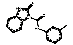 Cc1cccc(NC(=O)n2c(=O)[nH]c3cnccc32)c1